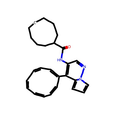 O=C(Nc1cnn2cccc2c1-c1ccccccccc1)C1CCCCCCCC1